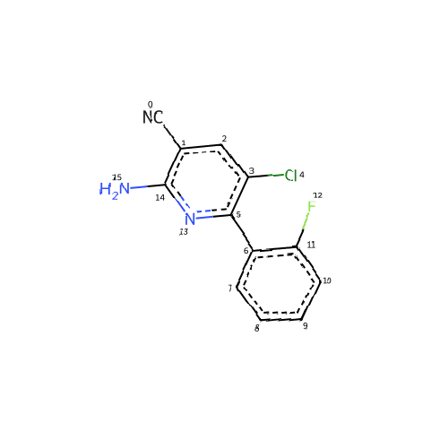 N#Cc1cc(Cl)c(-c2ccccc2F)nc1N